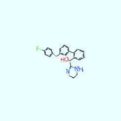 OC(C1=NCCCN1)c1ccccc1-c1cccc(Cc2ccc(F)cc2)c1